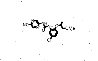 COCC(C)Oc1ccc(Cl)cc1NC(=O)Nc1cnc(C#N)cn1